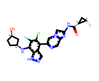 O=C(Nc1cn2cc(-c3c(Cl)c(F)c(N[C@H]4CC[C@@H](O)C4)c4[nH]ncc34)ncc2n1)[C@@H]1C[C@@H]1F